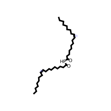 CCCCCCCC/C=C\CCCCCCCC(=O)PC(=O)CCCCCCC/C=C\CCCCCCCC